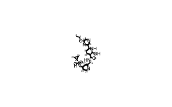 CCOc1cncc(C2=CC=C(C(=O)NCc3cc(NS(=O)(=O)C4CC4)ccn3)C(O)N2)n1